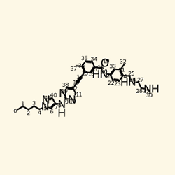 CCCCCn1cc(Nc2ncc(C#Cc3cc(C(=O)Nc4ccc(CNCCNC)c(C)c4)ccc3C)cn2)cn1